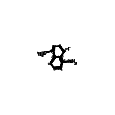 C[n+]1cccc2c(N)cccc21.[I-]